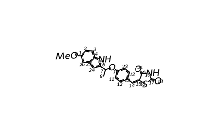 COc1ccc2[nH]c(C(C)Oc3ccc(/C=C4/SC(=O)NC4=O)cc3)cc2c1